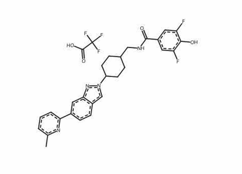 Cc1cccc(-c2ccc3cn(C4CCC(CNC(=O)c5cc(F)c(O)c(F)c5)CC4)nc3c2)n1.O=C(O)C(F)(F)F